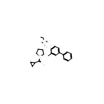 CCS(=O)(=O)N[C@H]1[C@@H](F)CN(C(=O)C2CC2)[C@H]1Cc1cccc(-c2ccccc2)c1